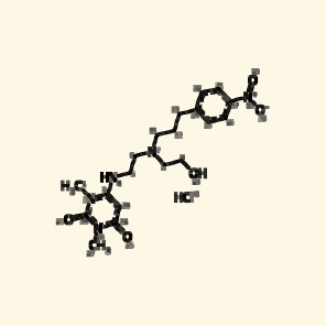 Cl.Cn1c(NCCN(CCO)CCCc2ccc([N+](=O)[O-])cc2)cc(=O)n(C)c1=O